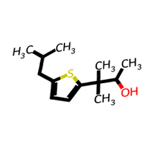 CC(C)Cc1ccc(C(C)(C)C(C)O)s1